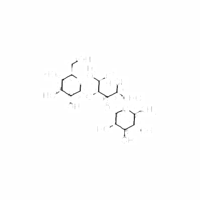 C[C@H](O)[C@H](O[C@H]1O[C@H](CO)[C@@H](O)[C@H](O)[C@H]1O)[C@@H](O[C@@H]1O[C@@H](C)[C@H](O)[C@@H](O)[C@H]1O)[C@@H](O)C=O